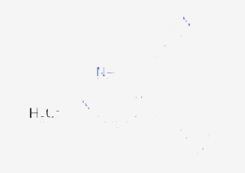 Cn1cc(C2CC2)c(C#N)n1